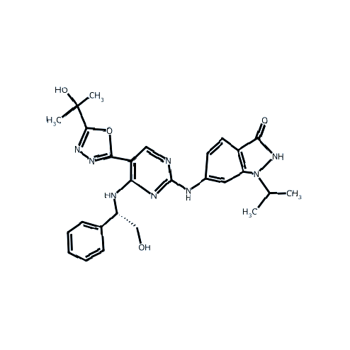 CC(C)n1[nH]c(=O)c2ccc(Nc3ncc(-c4nnc(C(C)(C)O)o4)c(N[C@H](CO)c4ccccc4)n3)cc21